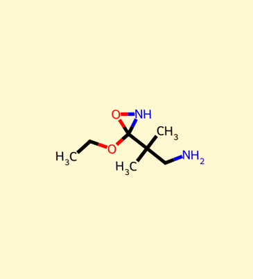 CCOC1(C(C)(C)CN)NO1